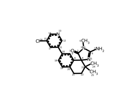 CN1C(=O)C2(N=C1N)c1cc(-c3cncc(Cl)c3)ccc1CCC2(C)C